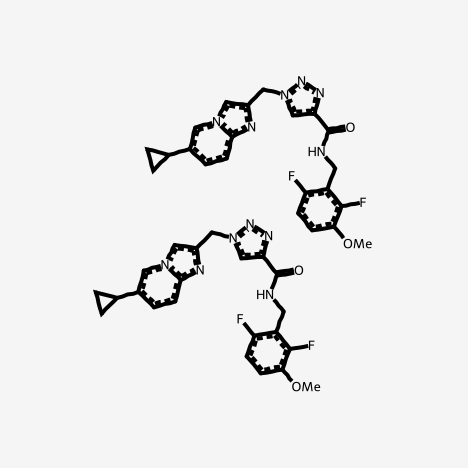 COc1ccc(F)c(CNC(=O)c2cn(Cc3cn4cc(C5CC5)ccc4n3)nn2)c1F.COc1ccc(F)c(CNC(=O)c2cn(Cc3cn4cc(C5CC5)ccc4n3)nn2)c1F